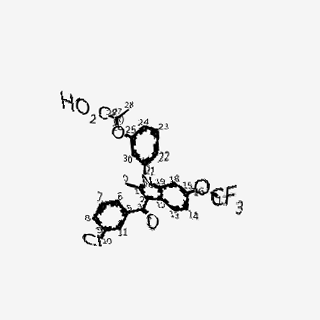 Cc1c(C(=O)c2cccc(Cl)c2)c2ccc(OC(F)(F)F)cc2n1-c1cccc(O[C@H](C)C(=O)O)c1